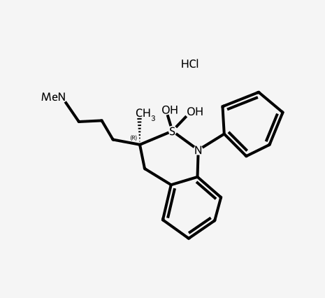 CNCCC[C@]1(C)Cc2ccccc2N(c2ccccc2)S1(O)O.Cl